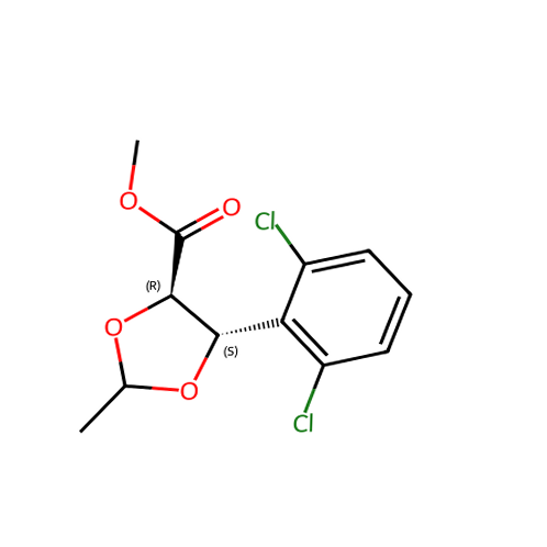 COC(=O)[C@@H]1OC(C)O[C@H]1c1c(Cl)cccc1Cl